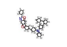 c1ccc(-c2nc3cc4oc5ccc(-c6ccc(N(c7ccccc7)c7ccc(-c8ccccc8-c8ccccc8)cc7)cc6)cc5c4cc3o2)cc1